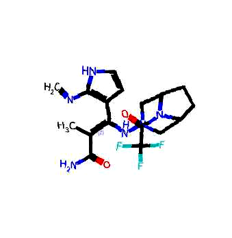 C=Nc1[nH]ccc1/C(NN1CC2CCC(C1)N2C(=O)C(F)(F)F)=C(\C)C(N)=O